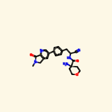 CN1Cc2cc(-c3ccc(CC(C#N)NC(=O)C4(N)CCOCC4)cc3)cnc2C1=O